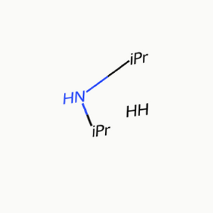 CC(C)NC(C)C.[HH]